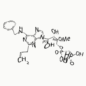 C=CCc1nc(NCc2ccccc2)c2ncn([C@H](O)[C@H](O)[C@@H](COP(=O)(O)CP(=O)(O)O)OC)c2n1